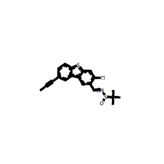 CC#Cc1ccc2sc3cc(Cl)c(/C=N/[S+]([O-])C(C)(C)C)cc3c2c1